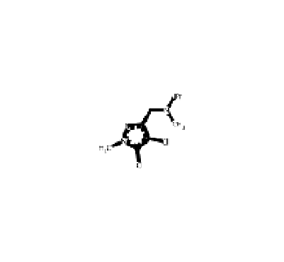 CC(C)N(C)Cc1nn(C)c(Cl)c1Cl